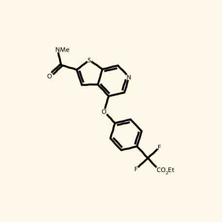 CCOC(=O)C(F)(F)c1ccc(Oc2cncc3sc(C(=O)NC)cc23)cc1